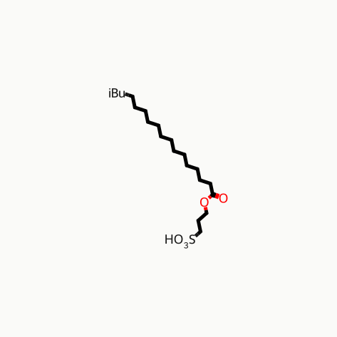 CCC(C)CCCCCCCCCCCCCC(=O)OCCCS(=O)(=O)O